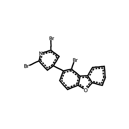 Brc1cc(-c2ccc3oc4ccccc4c3c2Br)cc(Br)n1